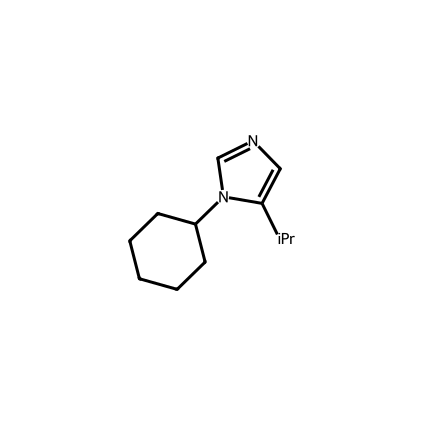 CC(C)c1cncn1C1CCCCC1